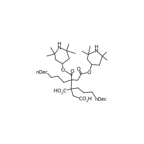 CCCCCCCCCCCCCC(CC(=O)O)(C(=O)O)C(CCCCCCCCCCCCC)(CC(=O)OC1CC(C)(C)NC(C)(C)C1)C(=O)OC1CC(C)(C)NC(C)(C)C1